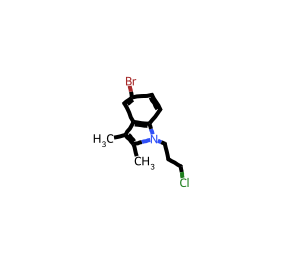 Cc1c(C)n(CCCCl)c2ccc(Br)cc12